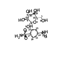 OC[C@@H]1OC(O)[C@@H](O)[C@H](O)[C@H]1O.[2H]Nc1ccc(S(N)(=O)=O)cc1